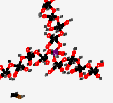 O=P([O][Mo](=[O])(=[O])[O][Mo](=[O])(=[O])[O][Mo](=[O])(=[O])[O][Mo](=[O])(=[O])[OH])([O][Mo](=[O])(=[O])[O][Mo](=[O])(=[O])[O][Mo](=[O])(=[O])[O][Mo](=[O])(=[O])[OH])[O][Mo](=[O])(=[O])[O][Mo](=[O])(=[O])[O][Mo](=[O])(=[O])[O][Mo](=[O])(=[O])[OH].[S]=[Ni]